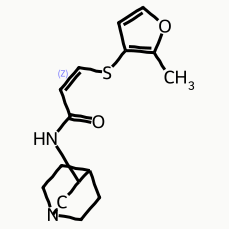 Cc1occc1S/C=C\C(=O)NC1CN2CCC1CC2